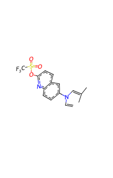 C=CN(C=C(C)C)c1ccc2nc(OS(=O)(=O)C(F)(F)F)ccc2c1